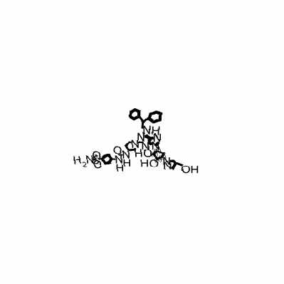 NS(=O)(=O)c1ccc(NC(=O)NC2CCN(c3nc(NCC(c4ccccc4)c4ccccc4)c4ncn([C@@H]5C[C@H](n6cc(CO)cn6)[C@@H](O)[C@H]5O)c4n3)C2)cc1